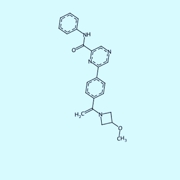 C=C(c1ccc(-c2cncc(C(=O)Nc3ccccc3)n2)cc1)N1CC(OC)C1